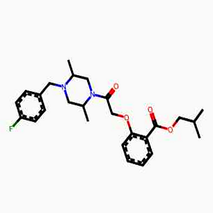 CC(C)COC(=O)c1ccccc1OCC(=O)N1CC(C)N(Cc2ccc(F)cc2)CC1C